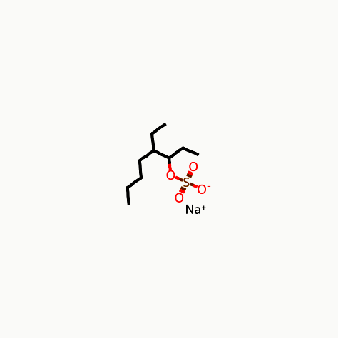 CCCCC(CC)C(CC)OS(=O)(=O)[O-].[Na+]